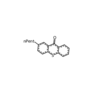 CCCCCc1ccc2sc3ccccc3c(=O)c2c1